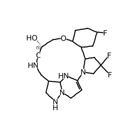 O[C@H]1CNCC2CNN3CC=C(NC23)N2CC(F)(F)CC2C2CC(F)CCC2OC1